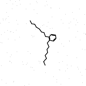 CCCCCCCCc1[c]cccc1CCCCCCCC